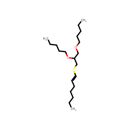 CCCCCC=CSCC(COCCCCC)OCCCCC